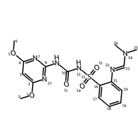 COc1cc(OC)nc(NC(=O)NS(=O)(=O)c2ccccc2/N=C/N(C)C)n1